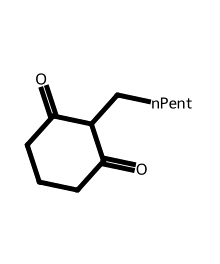 CCCCCCC1C(=O)CCCC1=O